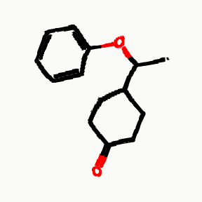 [CH2]C(Oc1ccccc1)C1CCC(=O)CC1